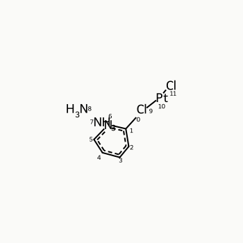 Cc1ccccn1.N.N.[Cl][Pt][Cl]